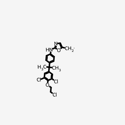 [CH2]c1cnc(Nc2ccc(C(C)(C)c3cc(Cl)c(OCCCl)c(Cl)c3)cc2)o1